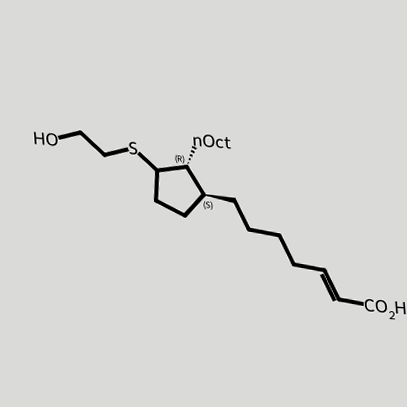 CCCCCCCC[C@H]1C(SCCO)CC[C@@H]1CCCCC=CC(=O)O